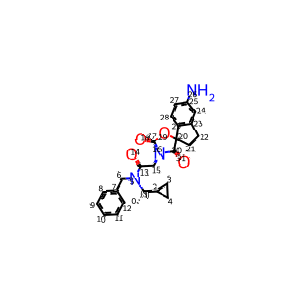 C[C@@H](C1CC1)N(Cc1ccccc1)C(=O)CN1C(=O)OC2(CCc3cc(N)ccc32)C1=O